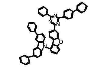 c1ccc(-c2ccc(-c3nc(-c4ccccc4)nc(-c4ccc5c(c4)oc4cccc(-n6c7ccc(-c8ccccc8)cc7c7cc(-c8ccccc8)ccc76)c45)n3)cc2)cc1